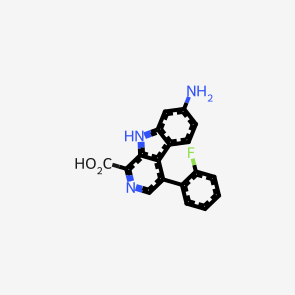 Nc1ccc2c(c1)[nH]c1c(C(=O)O)ncc(-c3ccccc3F)c12